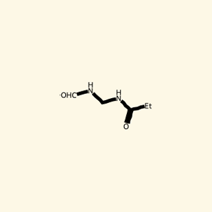 [CH2]CC(=O)NCN[C]=O